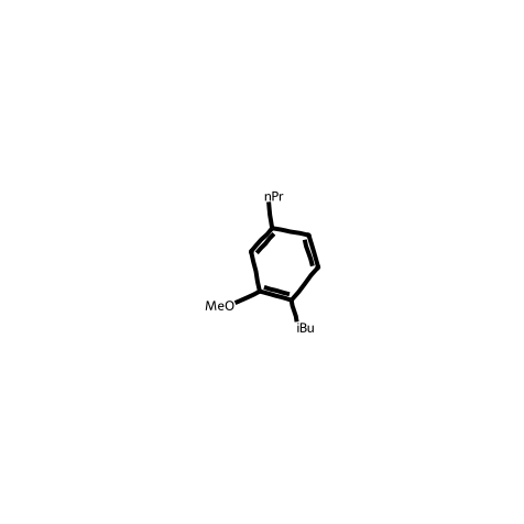 CCCc1ccc(C(C)CC)c(OC)c1